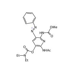 CCN(CC)C(=O)Oc1cc(/N=N/c2ccccc2)c(NC(=O)OC)nc1NC(C)=O